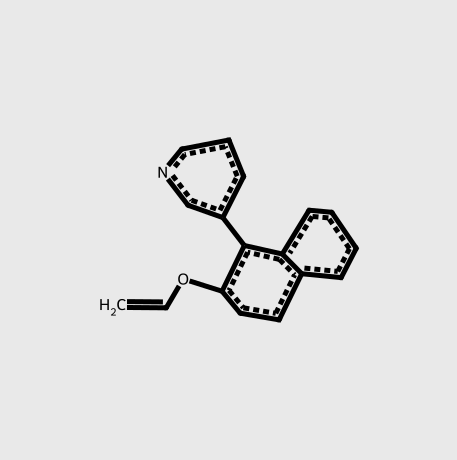 C=COc1ccc2ccccc2c1-c1cccnc1